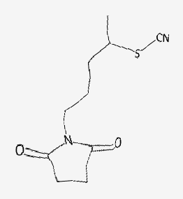 CC(CCCN1C(=O)CCC1=O)SC#N